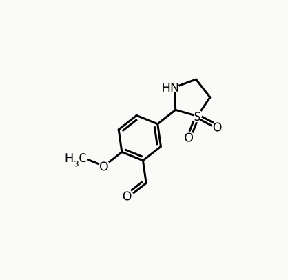 COc1ccc(C2NCCS2(=O)=O)cc1C=O